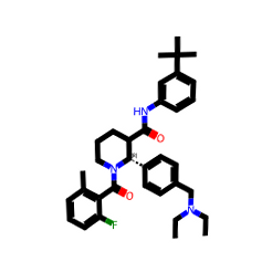 CCN(CC)Cc1ccc([C@H]2C(C(=O)Nc3cccc(C(C)(C)C)c3)CCCN2C(=O)c2c(C)cccc2F)cc1